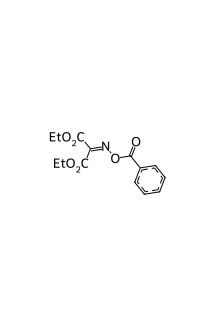 CCOC(=O)C(=NOC(=O)c1ccccc1)C(=O)OCC